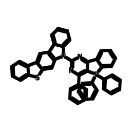 c1ccc(-c2nc(-n3c4ccccc4c4cc5c(cc43)sc3ccccc35)nc3c2[Si](c2ccccc2)(c2ccccc2)c2ccccc2-3)cc1